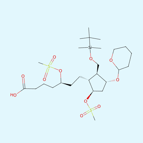 CC(C)(C)[Si](C)(C)OC[C@@H]1[C@@H](CC[C@@H](CCCC(=O)O)OS(C)(=O)=O)[C@H](OS(C)(=O)=O)C[C@H]1OC1CCCCO1